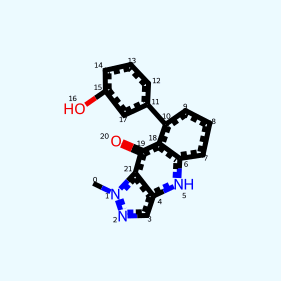 Cn1ncc2[nH]c3cccc(-c4cccc(O)c4)c3c(=O)c21